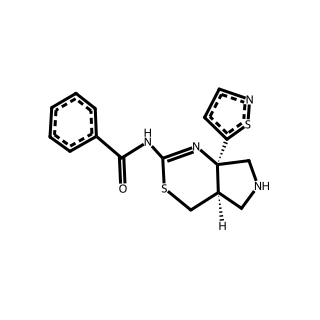 O=C(NC1=N[C@@]2(c3ccns3)CNC[C@H]2CS1)c1ccccc1